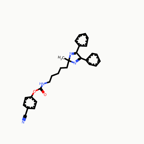 CC1(CCCCCNC(=O)Oc2ccc(C#N)cc2)N=C(c2ccccc2)C(c2ccccc2)=N1